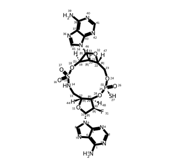 Nc1ncnc2c1ncn2[C@@H]1O[C@@H]2CNS(=O)(=O)O[C@@H]3[C@H](F)[C@@H](CO[P@](=O)(S)O[C@H]2[C@H]1F)O[C@H]3n1cnc2c(N)ncnc21